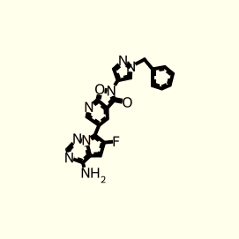 Nc1ncnn2c(-c3cnc4on(-c5cnn(Cc6ccccc6)c5)c(=O)c4c3)c(F)cc12